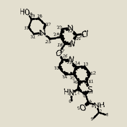 CNc1c(C(=O)NC(C)C)sc2ccc3nc(Oc4nc(Cl)ncc4CN4CCC(O)CC4)ccc3c12